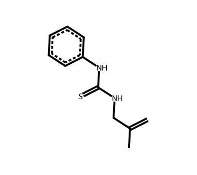 C=C(C)CNC(=S)Nc1ccccc1